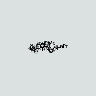 CCC/C=N/N=C/C1=CC=CC(NC(=O)c2cc3c(cc2OC)CCN(C(=O)N2CCCCC2)C3)N1